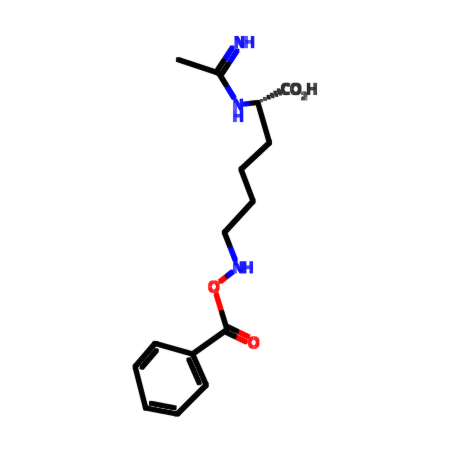 CC(=N)N[C@@H](CCCCNOC(=O)c1ccccc1)C(=O)O